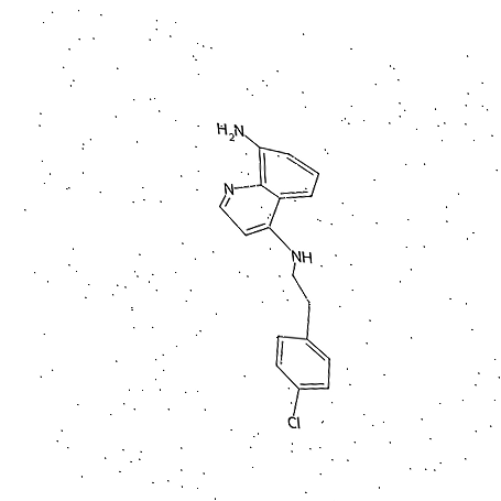 Nc1cccc2c(NCCc3ccc(Cl)cc3)ccnc12